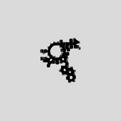 CC[C@@H]1C[C@H](C)CC/C=C\[C@@H]2C[C@@]2(C(=O)NS(=O)(=O)C2(C)CC2)NC(=O)[C@@H]2C[C@@H](Oc3nccc4c5c(ccc34)OCCO5)CN2C(=O)[C@H]1NC(=O)O